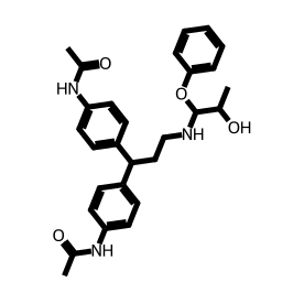 CC(=O)Nc1ccc(C(CCNC(Oc2ccccc2)C(C)O)c2ccc(NC(C)=O)cc2)cc1